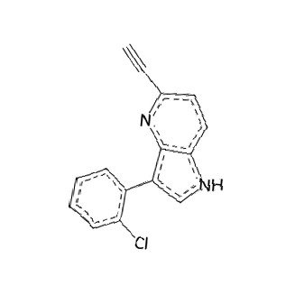 C#Cc1ccc2[nH]cc(-c3ccccc3Cl)c2n1